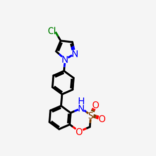 O=S1(=O)COc2cccc(-c3ccc(-n4cc(Cl)cn4)cc3)c2N1